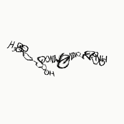 CS(=O)(=O)c1ccc(-c2ccc3cc(O)ccc3c2Oc2ccc(N3CCN(CC(=O)N4CCN(c5ccc6c(c5)CN(C5CCC(=O)NC5=O)C6=O)CC4)CC3)cc2)cc1